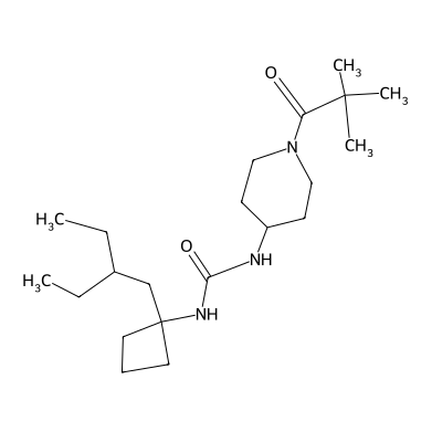 CCC(CC)CC1(NC(=O)NC2CCN(C(=O)C(C)(C)C)CC2)CCC1